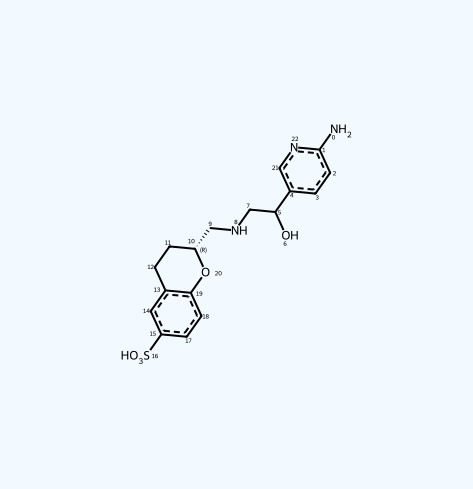 Nc1ccc(C(O)CNC[C@H]2CCc3cc(S(=O)(=O)O)ccc3O2)cn1